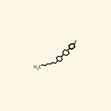 CCCCCCCC1CCC(C2CCC(c3ccc(F)cc3)CC2)CC1